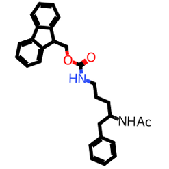 CC(=O)NC(CCCNC(=O)OCC1c2ccccc2-c2ccccc21)Cc1ccccc1